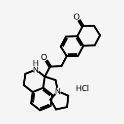 Cl.O=C1CCCc2cc(CC(=O)C3(CN4CCCC4)NCCc4ccccc43)ccc21